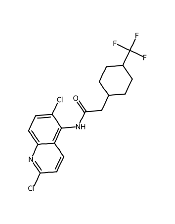 O=C(CC1CCC(C(F)(F)F)CC1)Nc1c(Cl)ccc2nc(Cl)ccc12